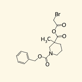 CC1(C(=O)OC(=O)CBr)CCCN(C(=O)OCc2ccccc2)C1